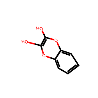 OC1=C(O)Oc2ccccc2O1